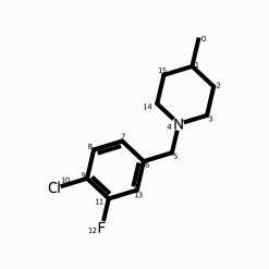 CC1CCN(Cc2ccc(Cl)c(F)c2)CC1